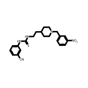 N#Cc1cccc(NC(=S)NCCC2CCN(Cc3cccc([N+](=O)[O-])c3)CC2)c1